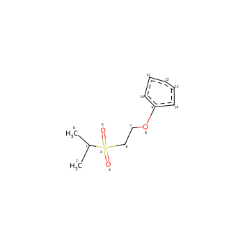 CC(C)S(=O)(=O)CCOc1ccccc1